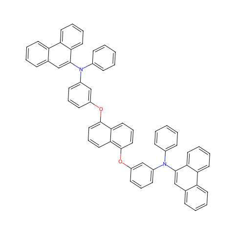 c1ccc(N(c2cccc(Oc3cccc4c(Oc5cccc(N(c6ccccc6)c6cc7ccccc7c7ccccc67)c5)cccc34)c2)c2cc3ccccc3c3ccccc23)cc1